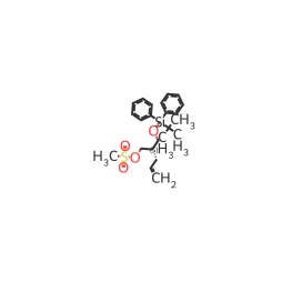 C=CC[C@@H](CO[Si](c1ccccc1)(c1ccccc1)C(C)(C)C)COS(C)(=O)=O